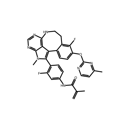 C=C(C)C(=O)Nc1ccc(-c2c3c4c(ncnc4n2C)NCCc2c-3ccc(Oc3nccc(C)n3)c2F)c(F)c1